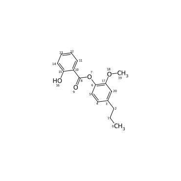 CCCc1ccc(OC(=O)c2ccccc2O)c(OC)c1